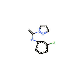 C=C(Nc1cccc(Cl)c1)n1cccn1